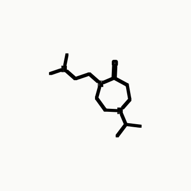 CC(C)N1CCC(=O)N(CCN(C)C)CC1